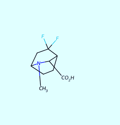 CN1C2CCC(C1C(=O)O)C(F)(F)C2